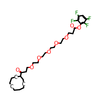 O=C(CCOCCOCCOCCOCCOCCC(=O)C1CCCCCCCCC1)Oc1c(F)c(F)cc(F)c1F